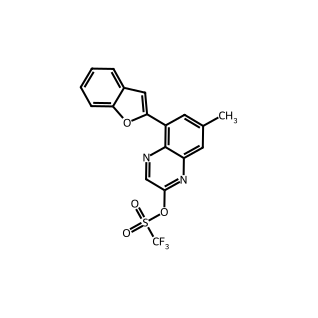 Cc1cc(-c2cc3ccccc3o2)c2ncc(OS(=O)(=O)C(F)(F)F)nc2c1